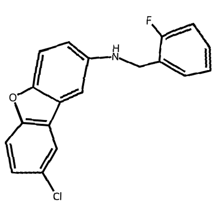 Fc1ccccc1CNc1ccc2oc3ccc(Cl)cc3c2c1